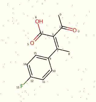 CC(=O)/C(C(=O)O)=C(\C)c1ccc(F)cc1